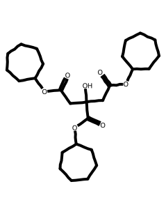 O=C(CC(O)(CC(=O)OC1CCCCCC1)C(=O)OC1CCCCCC1)OC1CCCCCC1